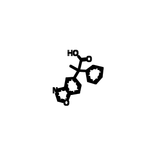 CC(C(=O)O)(c1ccccc1)c1ccc2ocnc2c1